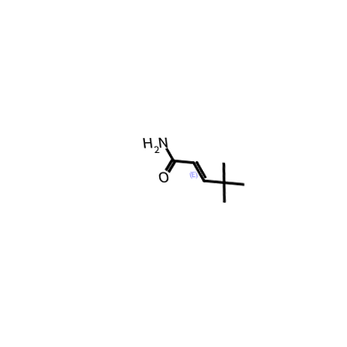 CC(C)(C)/C=[C]/C(N)=O